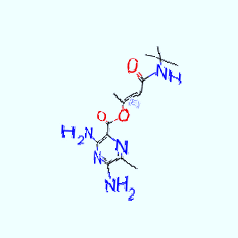 C/C(=C\C(=O)NC(C)(C)C)OC(=O)c1nc(C)c(N)nc1N